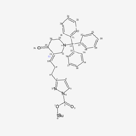 CC(C)(C)OC(=O)n1ccc(CC/C=C2\CN(C(c3ccccc3)(c3ccccc3)c3ccccc3)CCC2=O)n1